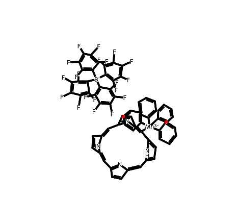 C1=Cc2cc3ccc([nH]3)[c]([Mn-3]([c]3ccccc3)([c]3ccccc3)([c]3ccccc3)[c]3ccccc3)c3nc(cc4ccc(cc1n2)[nH]4)C=C3.Fc1c(F)c(F)c([B-](c2c(F)c(F)c(F)c(F)c2F)(c2c(F)c(F)c(F)c(F)c2F)c2c(F)c(F)c(F)c(F)c2F)c(F)c1F